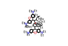 CCCCCCCCCCC(CC(C=O)C(C(CCCCCCCC)CC(C)(CC)CCCC)C1c2ccc(N(CC)CC)cc2Oc2cc(N(CC)CC)ccc21)C(C(C=O)CC(C)(CC)CCCC)C1c2ccc(N(CC)CC)cc2Oc2cc(N(CC)CC)ccc21